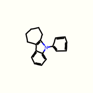 c1ccc(-n2c3c(c4ccccc42)CCCCC3)cc1